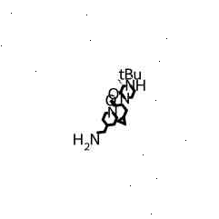 CC(C)(C)C[C@@H]1NCCN(C(CC2CC2)C(=O)N2CCC(CCN)CC2)C1=O